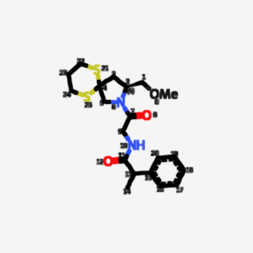 COC[C@@H]1CC2(CN1C(=O)CNC(=O)C(C)c1ccccc1)SCCCS2